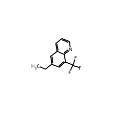 CCc1cc(C(F)(F)F)c2ncccc2c1